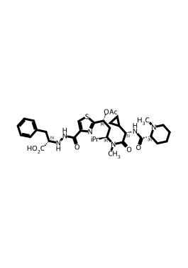 CC(=O)O[C@H](C[C@H](C(C)C)N(C)C(=O)[C@@H](NC(=O)[C@H]1CCCCN1C)C1CC1)c1nc(C(=O)NN[C@@H](Cc2ccccc2)C(=O)O)cs1